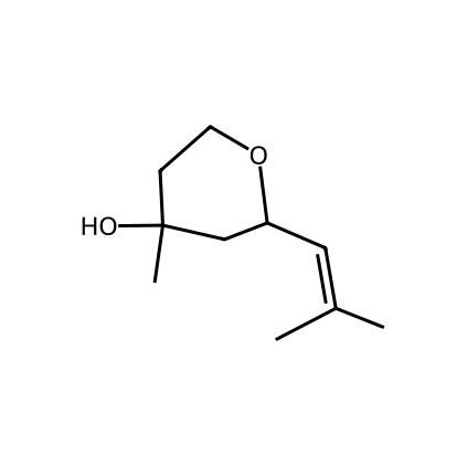 CC(C)=CC1CC(C)(O)CCO1